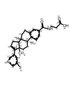 C[C@]12CC[C@@H]3c4ccc(C(=O)NCCC(=O)O)cc4CC[C@H]3[C@@H]1CC=C2c1cncc(F)c1